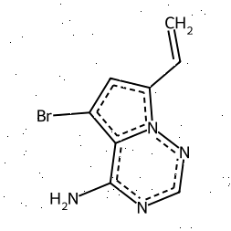 C=Cc1cc(Br)c2c(N)ncnn12